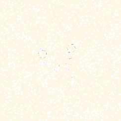 C=CCN(C1CCN(CCNc2ccncc2)C1=O)S(=O)(=O)c1cc2ccc(Cl)cc2s1